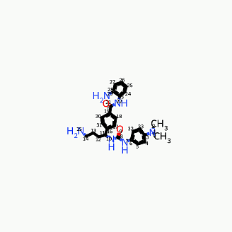 CN(C)c1ccc(NC(=O)NC(CCCN)c2ccc(C(=O)Nc3ccccc3N)cc2)cc1